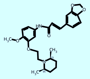 COc1ccc(NC(=O)C=Cc2ccc3c(c2)OCO3)cc1OCCN1[C@H](C)CCC[C@@H]1C